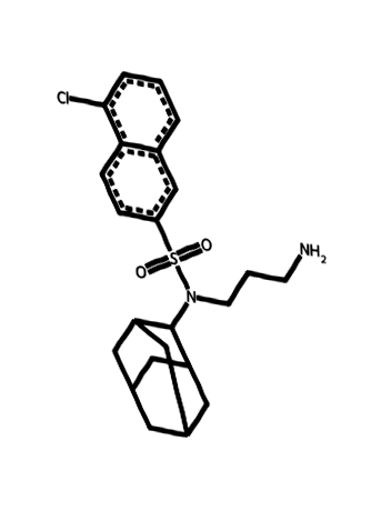 NCCCN(C1C2CC3CC(C2)CC1C3)S(=O)(=O)c1ccc2c(Cl)cccc2c1